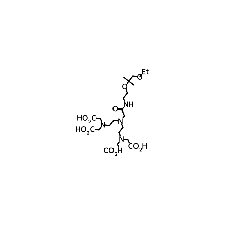 CCOCC(C)(C)OCCNC(=O)CN(CCN(CC(=O)O)CC(=O)O)CCN(CC(=O)O)CC(=O)O